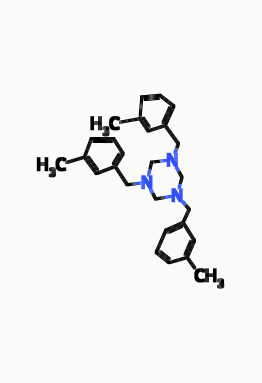 Cc1cccc(CN2CN(Cc3cccc(C)c3)CN(Cc3cccc(C)c3)C2)c1